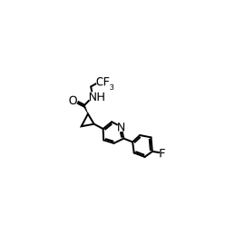 O=C(NCC(F)(F)F)[C@@H]1CC1c1ccc(-c2ccc(F)cc2)nc1